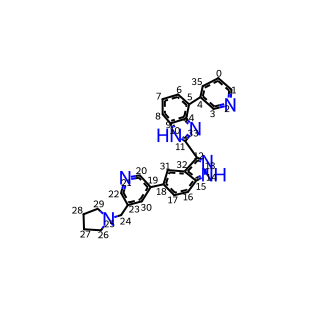 c1cncc(-c2cccc3[nH]c(-c4n[nH]c5ccc(-c6cncc(CN7CCCC7)c6)cc45)nc23)c1